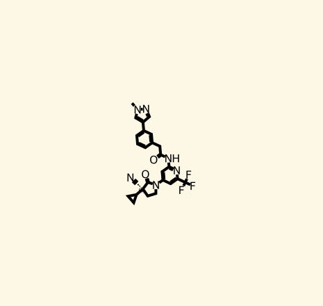 Cn1cc(-c2cccc(CC(=O)Nc3cc(N4CC[C@@](C#N)(C5CC5)C4=O)cc(C(F)(F)F)n3)c2)cn1